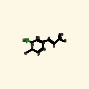 C=C(C)/C=C/C(/C=C\CC)=C/CF